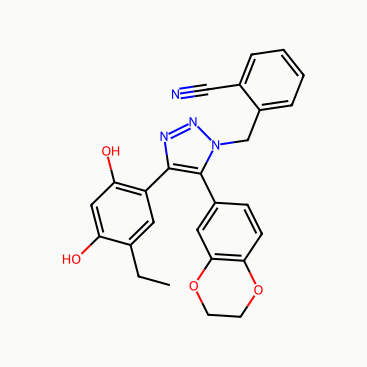 CCc1cc(-c2nnn(Cc3ccccc3C#N)c2-c2ccc3c(c2)OCCO3)c(O)cc1O